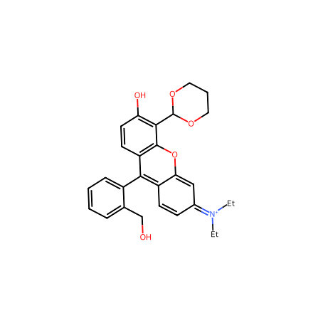 CC[N+](CC)=c1ccc2c(-c3ccccc3CO)c3ccc(O)c(C4OCCCO4)c3oc-2c1